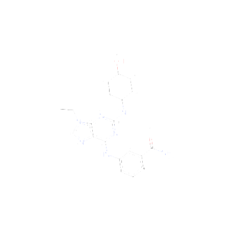 CCn1cnc2c(Nc3cccc(C(N)=O)c3)nc(NC3CCC(O)CC3)nc21